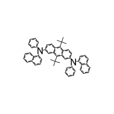 CC(C)(C)c1c2ccc(N(c3ccccc3)c3cccc4ccccc34)cc2c(C(C)(C)C)c2cc(N(c3ccccc3)c3cccc4ccccc34)ccc12